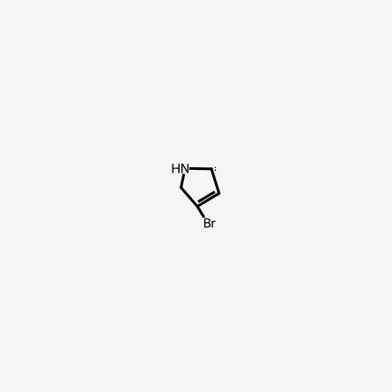 BrC1=C[C]NC1